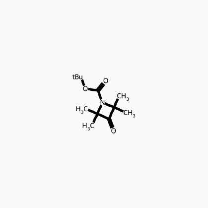 CC(C)(C)OC(=O)N1C(C)(C)C(=O)C1(C)C